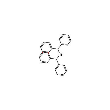 c1ccc([CH]([Ti][CH](c2ccccc2)c2ccccc2)c2ccccc2)cc1